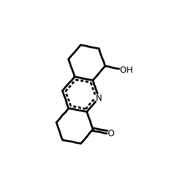 O=C1CCCc2cc3c(nc21)C(O)CCC3